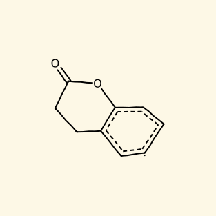 O=C1CCc2c[c]ccc2O1